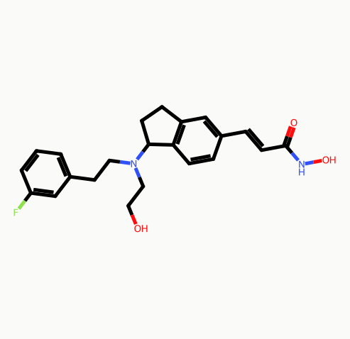 O=C(/C=C/c1ccc2c(c1)CCC2N(CCO)CCc1cccc(F)c1)NO